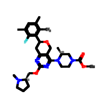 Cc1cc(C)c(C(F)(F)F)c(C2Cc3nc(OC[C@@H]4CCCN4C)nc(N4CCN(C(=O)OC(C)(C)C)C[C@H]4C)c3CO2)c1F